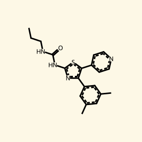 CCCNC(=O)Nc1nc(-c2cc(C)cc(C)c2)c(-c2ccncc2)s1